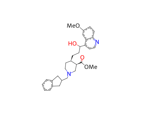 COC(=O)[C@H]1CN(CC2Cc3ccccc3C2)CC[C@H]1CCC(O)c1ccnc2ccc(OC)cc12